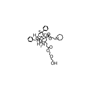 CC(N)(CCC(=O)OCCOCCO)CC(C)(CC(C)(SC(=S)c1ccccc1)C(=O)OCc1ccccc1)C(=O)OCCN1CCCCCC1